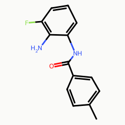 Cc1ccc(C(=O)Nc2cccc(F)c2N)cc1